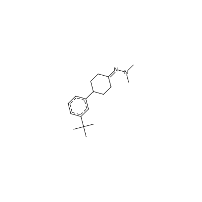 CN(C)N=C1CC[C](c2cccc(C(C)(C)C)c2)CC1